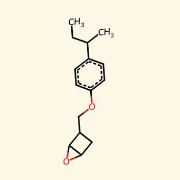 CCC(C)c1ccc(OCC2CC3OC23)cc1